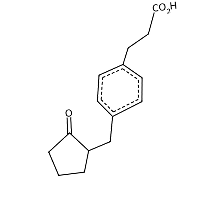 O=C(O)CCc1ccc(CC2CCCC2=O)cc1